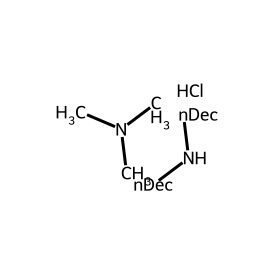 CCCCCCCCCCNCCCCCCCCCC.CN(C)C.Cl